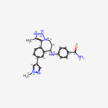 CC1=C2c3ccc(-c4cnn(C)c4)cc3C(Nc3ccc(C(N)=O)cc3)CCN2NN1